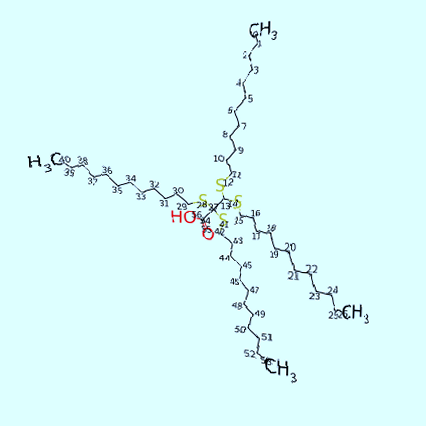 CCCCCCCCCCCCSC(SCCCCCCCCCCCC)C(SCCCCCCCCCCCC)(SCCCCCCCCCCCC)C(=O)O